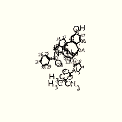 CC(C)(C)OC(=O)N1CCC[C@H]1CN1CCC23CC[C@@H]4CN(C(=O)c5ccccc5)C(CCC1Cc1ccc(O)cc12)C43